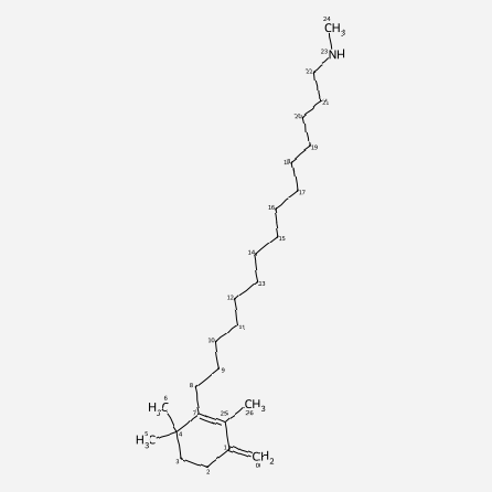 C=C1CCC(C)(C)C(CCCCCCCCCCCCCCCNC)=C1C